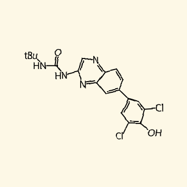 CC(C)(C)NC(=O)Nc1cnc2ccc(-c3cc(Cl)c(O)c(Cl)c3)cc2n1